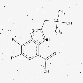 CC(C)(O)Cc1nc2c(F)c(F)cc(C(=O)O)c2[nH]1